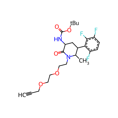 C#CCOCCOCCN1C(=O)C(NC(=O)OC(C)(C)C)CC(c2c(F)ccc(F)c2F)C1C